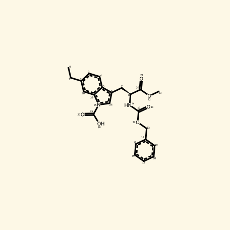 CCc1ccc2c(C[C@H](NC(=O)OCc3ccccc3)C(=O)OC)cn(C(=O)O)c2c1